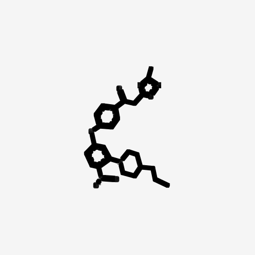 CCCC1CCN(c2cc(Oc3ccc(C(=O)Cc4nc(C)no4)cc3)ccc2[N+](=O)[O-])CC1